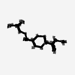 CCN(CC)CCNC1CCN(C(=O)OC(C)(C)C)CC1